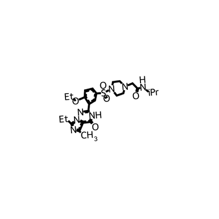 CCOc1ccc(S(=O)(=O)N2CCN(CC(=O)NC(C)C)CC2)cc1-c1nn2c(CC)nc(C)c2c(=O)[nH]1